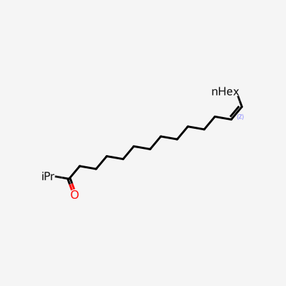 CCCCCC/C=C\CCCCCCCCCCCC(=O)C(C)C